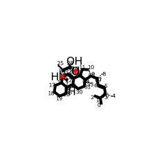 CC(C)[C@@H](C)C=C[C@@H](C)[C@H]1CC[C@H]2C3=CCC4CCCC[C@]4(CN[C@@H](C)C(=O)O)[C@H]3CC[C@]12C